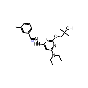 CCN(CC)c1cc(N/N=C/c2cccc(C)c2)nc(OCC(C)(C)O)n1